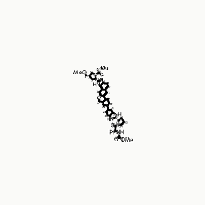 COC[C@H]1C[C@@H](c2nc3ccc4cc5c(cc4c3[nH]2)OCc2cc(-c3ccc4c(c3)NC([C@@H]3CCCN3C(=O)[C@@H](NC(=O)OC)C(C)C)N4)ccc2-5)N(C(=O)OC(C)(C)C)C1